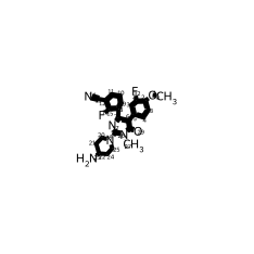 COc1ccc(-c2c(-c3cccc(C#N)c3F)nc(N3CCC(N)CC3)n(C)c2=O)cc1F